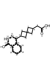 O=C(O)CC1CC2(C1)CC(c1n[nH]c(=O)c3ccccc13)C2